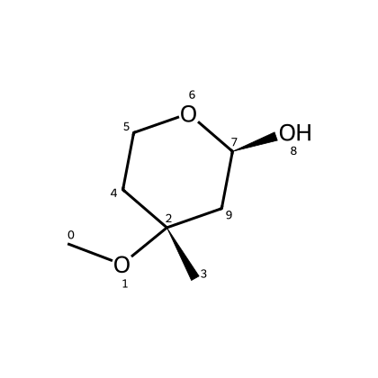 CO[C@]1(C)CCO[C@@H](O)C1